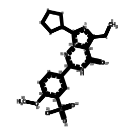 CCc1nc(C2CCCC2)n2nc(-c3ccc(OC)c(S(=O)(=O)Cl)c3)[nH]c(=O)c12